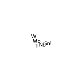 [Mo].[Nb].[Sn].[Ti].[W]